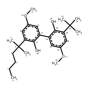 CCCCC(C)(C)c1cc(OC)cc(-c2cc(OC)cc(C(C)(C)C)c2O)c1O